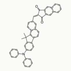 CC1(C)c2cc(N(c3ccccc3)c3ccccc3)ccc2-c2ccc3cc(C=C4C(=O)c5cc6ccccc6cc5C4=O)ccc3c21